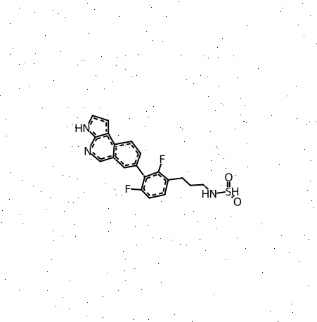 O=[SH](=O)NCCCc1ccc(F)c(-c2ccc3c(cnc4[nH]ccc43)c2)c1F